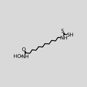 O=C(CCCCCCCCCCNC(=S)S)NO